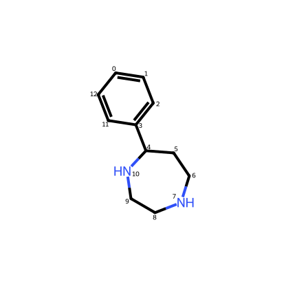 c1ccc(C2CCNCCN2)cc1